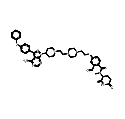 CN(C(=O)c1ccc(SCCN2CCN(CCN3CCC(n4nc(-c5ccc(Oc6ccccc6)cc5)c5c(N)ncnc54)CC3)CC2)cc1C=O)C1CCC(=O)NC1=O